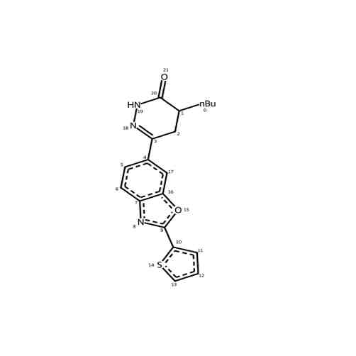 CCCCC1CC(c2ccc3nc(-c4cccs4)oc3c2)=NNC1=O